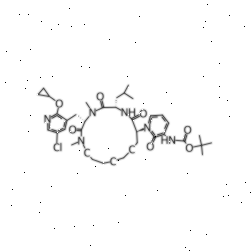 CC(C)C[C@@H]1NC(=O)[C@@H](n2cccc(NC(=O)OC(C)(C)C)c2=O)CCCCCCCN(C)C(=O)[C@H](Cc2cc(Cl)cnc2OC2CC2)N(C)C1=O